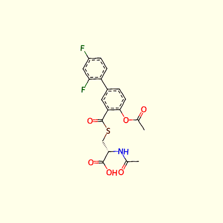 CC(=O)N[C@@H](CSC(=O)c1cc(-c2ccc(F)cc2F)ccc1OC(C)=O)C(=O)O